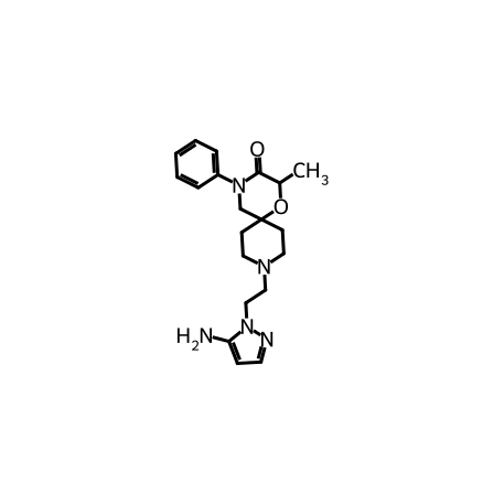 CC1OC2(CCN(CCn3nccc3N)CC2)CN(c2ccccc2)C1=O